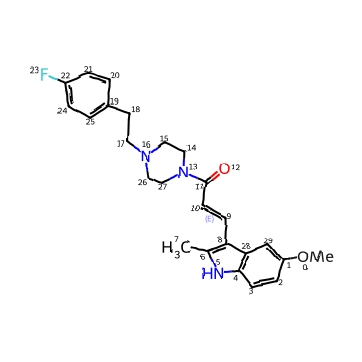 COc1ccc2[nH]c(C)c(/C=C/C(=O)N3CCN(CCc4ccc(F)cc4)CC3)c2c1